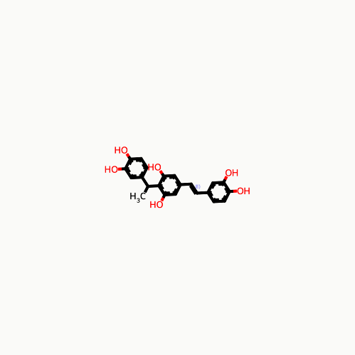 CC(c1ccc(O)c(O)c1)c1c(O)cc(/C=C/c2ccc(O)c(O)c2)cc1O